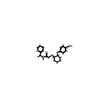 CC(c1ccccn1)N(C)C(=O)CSC1CCCCC1Sc1ccc(O)cc1